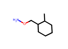 CC1CCCCC1CON